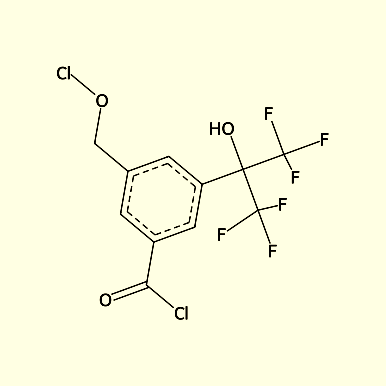 O=C(Cl)c1cc(COCl)cc(C(O)(C(F)(F)F)C(F)(F)F)c1